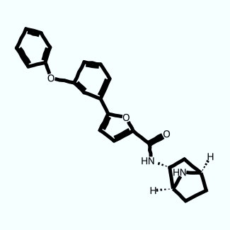 O=C(N[C@@H]1C[C@H]2CC[C@@H]1N2)c1ccc(-c2cccc(Oc3ccccc3)c2)o1